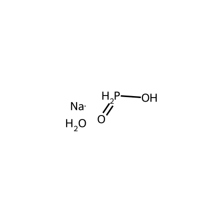 O.O=[PH2]O.[Na]